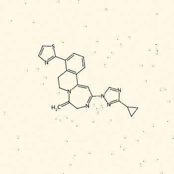 C=C1CN=C(n2cnc(C3CC3)n2)C=C2c3cccc(-c4nccs4)c3CCN12